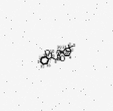 CC1(C)C2CC3OB(CC4COc5ccccc54)O[C@@]3(C)C1C2